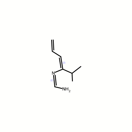 C=C/C=C(\N=C/N)C(C)C